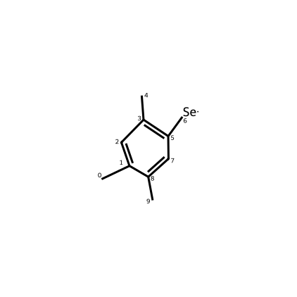 Cc1cc(C)c([Se])cc1C